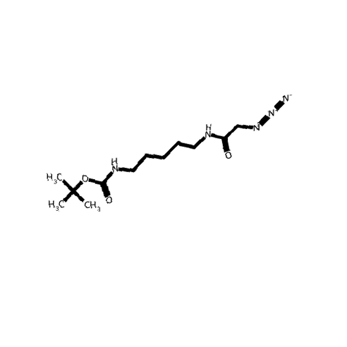 CC(C)(C)OC(=O)NCCCCCNC(=O)CN=[N+]=[N-]